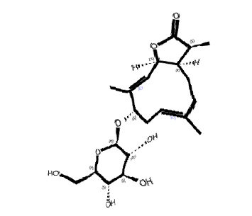 C/C1=C\C[C@H](O[C@@H]2O[C@H](CO)[C@@H](O)[C@H](O)[C@H]2O)/C(C)=C/[C@H]2OC(=O)[C@@H](C)[C@H]2CC1